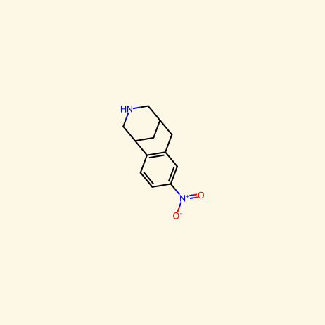 O=[N+]([O-])c1ccc2c(c1)CC1CNCC2C1